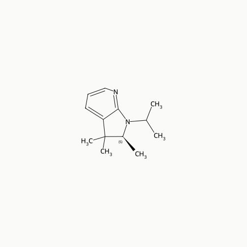 CC(C)N1c2ncccc2C(C)(C)[C@@H]1C